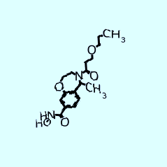 CCCOCCC(=O)N1CCOc2cc(C(=O)NO)ccc2C1C